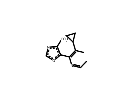 C/C=N\C(=C(/C)C1CC1)c1ocnc1C(=O)OCC